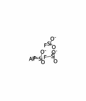 O=[Si]([O-])F.O=[Si]([O-])F.O=[Si]([O-])F.[Al+3]